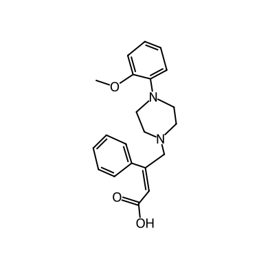 COc1ccccc1N1CCN(C/C(=C/C(=O)O)c2ccccc2)CC1